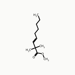 CCCCCC=CC(C)(C)C(=O)OC